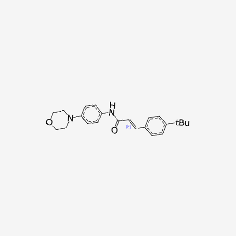 CC(C)(C)c1ccc(/C=C/C(=O)Nc2ccc(N3CCOCC3)cc2)cc1